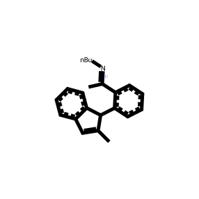 CCCC/N=C(\C)c1ccccc1C1C(C)=Cc2ccccc21